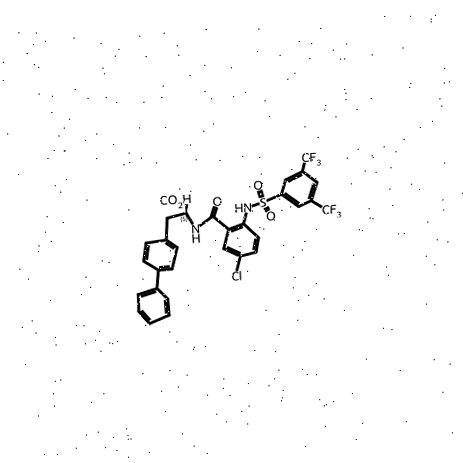 O=C(N[C@@H](Cc1ccc(-c2ccccc2)cc1)C(=O)O)c1cc(Cl)ccc1NS(=O)(=O)c1cc(C(F)(F)F)cc(C(F)(F)F)c1